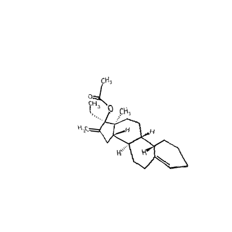 C=C1C[C@H]2[C@@H]3CCC4=CCCC[C@H]4[C@H]3CC[C@]2(C)[C@]1(CC)OC(C)=O